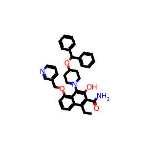 CCc1c(C(N)=O)c(O)c(N2CCC(OC(c3ccccc3)c3ccccc3)CC2)c2c(OCc3cccnc3)cccc12